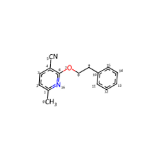 Cc1ccc(C#N)c(OCCc2ccccc2)n1